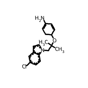 CC(C)(Cn1ccc2cc(Cl)ccc21)OC1C=CC(N)=CC1